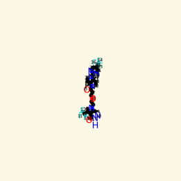 O=C(CCOCCn1cc(C(F)(F)F)c2c(=O)[nH]ncc21)N1CC[C@@H]2[C@H]1CCN2c1ncc(C(F)(F)F)cn1